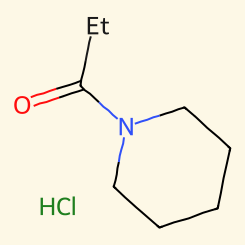 CCC(=O)N1CCCCC1.Cl